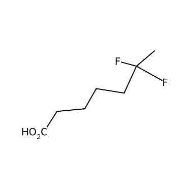 CC(F)(F)CCCCC(=O)O